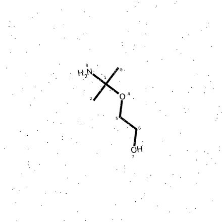 CC(C)(N)OCCO